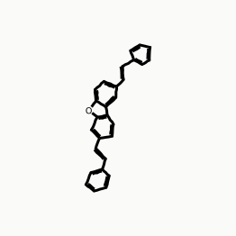 C(=C\c1ccc2c(c1)oc1ccc(/C=C/c3ccccc3)cc12)/c1ccccc1